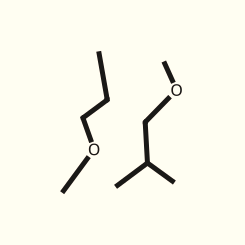 CCCOC.COCC(C)C